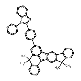 CC1(C)c2ccccc2-c2cc3c4cc(-c5ccc(-c6nc7ccccc7n6-c6ccccc6)cc5)cc5c4n(c3cc21)-c1ccccc1C5(C)C